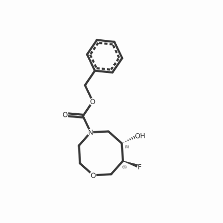 O=C(OCc1ccccc1)N1CCOC[C@H](F)[C@@H](O)C1